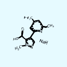 Cc1cc(C)nc(-c2cnn(C)c2C(=O)O)c1.[NaH]